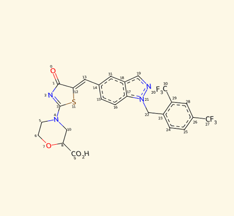 O=C1N=C(N2CCOC(C(=O)O)C2)S/C1=C\c1ccc2c(cnn2Cc2ccc(C(F)(F)F)cc2C(F)(F)F)c1